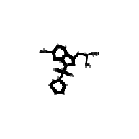 COc1ccc2c(C[C@@H](N)C(=O)O)cn(S(=O)(=O)c3ccccc3)c2c1